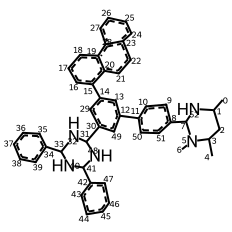 CC1CC(C)N(C)C(c2ccc(-c3cc(-c4cccc5c4ccc4ccccc45)cc(C4NC(c5ccccc5)NC(c5ccccc5)N4)c3)cc2)N1